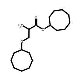 O=C(OC1CCCCCCC1)C(COC1CCCCCCC1)C(F)(F)F